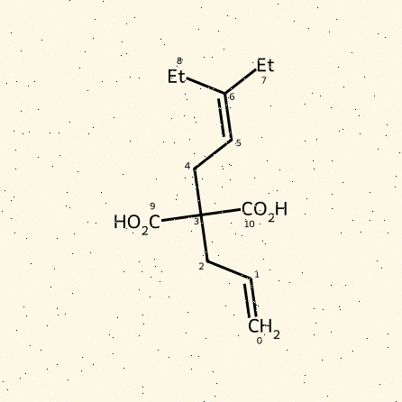 C=CCC(CC=C(CC)CC)(C(=O)O)C(=O)O